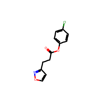 O=C(CCc1ccon1)Oc1ccc(Cl)cc1